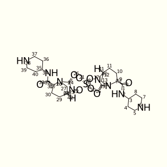 O=C(NC1CCNCC1)[C@@H]1CC[C@@H]2CN1C(=O)N2OS(=O)(=O)ON1C(=O)N2C[C@H]1CC[C@H]2C(=O)NC1CCNCC1